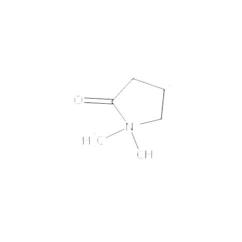 C[N+]1(C)CCCC1=O